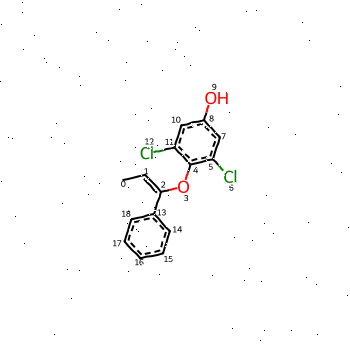 CC=C(Oc1c(Cl)cc(O)cc1Cl)c1ccccc1